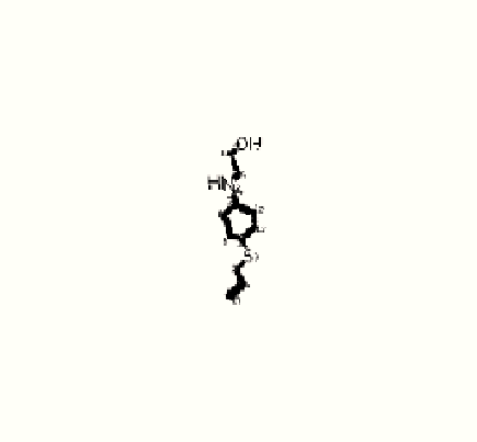 C=CCSc1ccc(NCCO)cc1